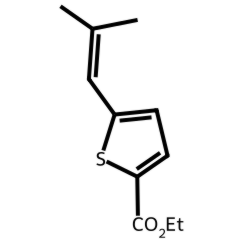 CCOC(=O)c1ccc(C=C(C)C)s1